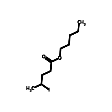 CCCCCOC(=O)CCC(C)I